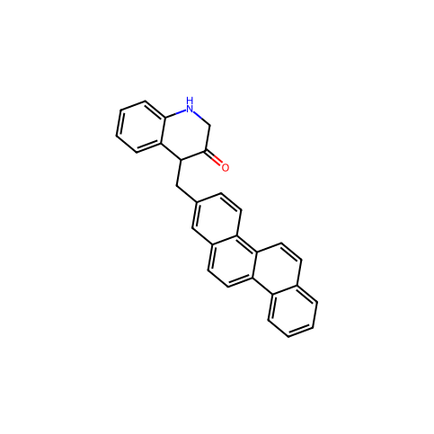 O=C1CNc2ccccc2C1Cc1ccc2c(ccc3c4ccccc4ccc23)c1